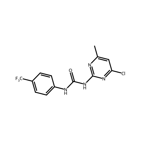 Cc1cc(Cl)nc(NC(=O)Nc2ccc(C(F)(F)F)cc2)n1